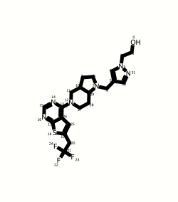 OCCn1cc(CN2CCC3CN(c4ncnc5sc(CC(F)(F)F)cc45)CCC32)cn1